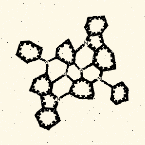 c1ccc(N2c3ccc4c5c3B3c6c(ccc7c6B5c5c(ccc6c8ccccc8n-4c56)N7c4ccccc4)-n4c5ccccc5c5ccc2c3c54)cc1